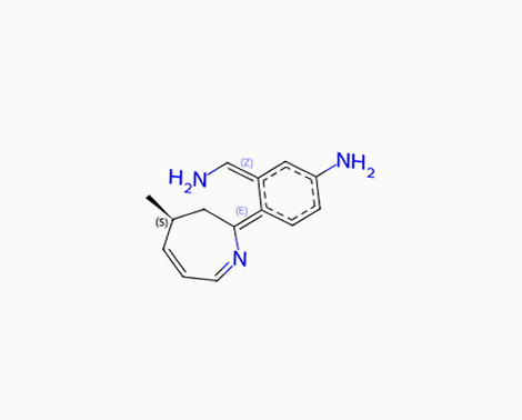 C[C@@H]1C=CC=N/C(=c2\ccc(N)c\c2=C\N)C1